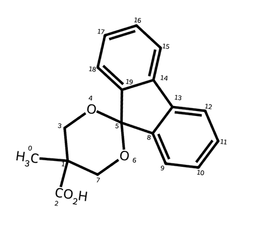 CC1(C(=O)O)COC2(OC1)c1ccccc1-c1ccccc12